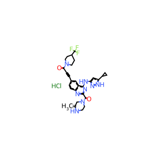 C[C@@H]1CN(C(=O)c2nc(Nc3cc(C4CC4)[nH]n3)c3cc(C#CC(=O)N4CCC(C(F)(F)F)CC4)ccc3n2)CCN1.Cl